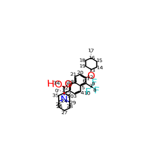 C[C@H](c1ccc2c(C(F)(F)F)c(O[C@H]3CC[C@@H](C)CC3)ccc2c1)N1C2CCCC1CC(C(=O)O)C2